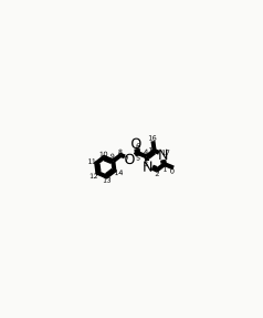 Cc1cnc(C(=O)OCc2ccccc2)c(C)n1